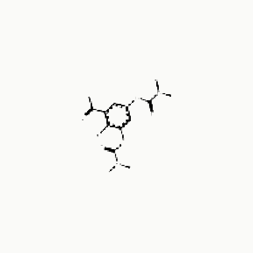 CC(=O)c1cc(OC(=O)N(C)C)cc(OC(=O)N(C)C)c1Br